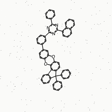 c1ccc(-c2nc(-c3cccc(-c4ccc5c(c4)Oc4ccc6c(c4O5)-c4ccccc4C6(c4ccccc4)c4ccccc4)c3)nc(-c3cccc4ccccc34)n2)cc1